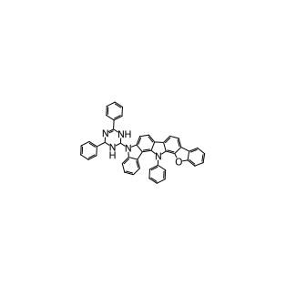 c1ccc(C2=NC(c3ccccc3)NC(n3c4ccccc4c4c5c(ccc43)c3ccc4c6ccccc6oc4c3n5-c3ccccc3)N2)cc1